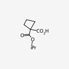 CC(C)OC(=O)C1(C(=O)O)CCC1